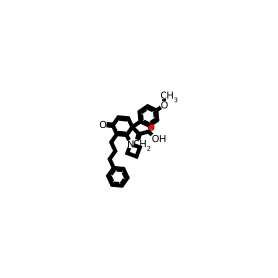 C=C(C(=O)O)C1(c2ccc(OC)cc2)C=CC(=O)C(CCCc2ccccc2)=C1N1CCC1